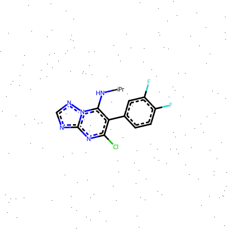 CC(C)Nc1c(-c2ccc(F)c(F)c2)c(Cl)nc2ncnn12